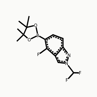 CC1(C)OB(c2ccc3nn(C(F)F)cc3c2F)OC1(C)C